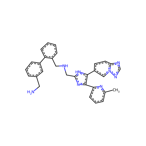 Cc1cccc(-c2nc(CNCc3ccccc3-c3cccc(CN)c3)[nH]c2-c2ccc3ncnn3c2)n1